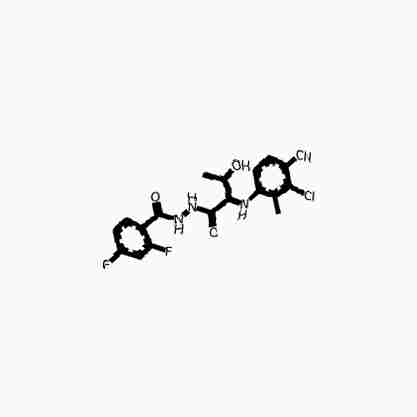 Cc1c(NC(C(=O)NNC(=O)c2ccc(F)cc2F)C(C)O)ccc(C#N)c1Cl